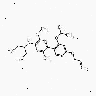 C=CCOc1ccc(-c2nc(OC)c(NC(CC)CC)nc2C)c(OC(C)C)c1